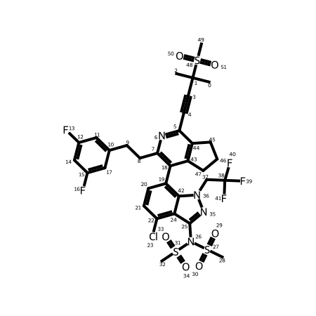 CC(C)(C#Cc1nc(CCc2cc(F)cc(F)c2)c(-c2ccc(Cl)c3c(N(S(C)(=O)=O)S(C)(=O)=O)nn(CC(F)(F)F)c23)c2c1CCC2)S(C)(=O)=O